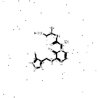 CC[C@@H](C(=O)N[C@@H](CC(=O)O)C(C)=O)n1ccnc(NCc2nonc2C)c1=O